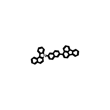 c1ccc2c(c1)-c1cccc3c(-c4ccc5cc(-n6c7ccccc7c7c8ccccc8ccc76)ccc5c4)ccc-2c13